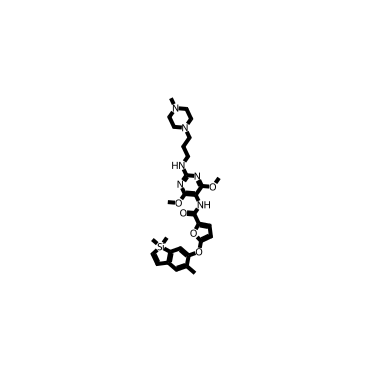 COc1nc(NCCCN2CCN(C)CC2)nc(OC)c1NC(=O)c1ccc(Oc2cc3c(cc2C)C=C[Si]3(C)C)o1